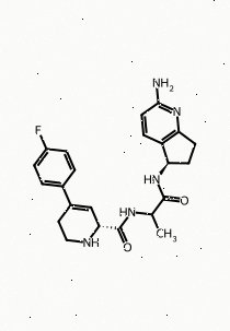 CC(NC(=O)[C@H]1C=C(c2ccc(F)cc2)CCN1)C(=O)N[C@@H]1CCc2nc(N)ccc21